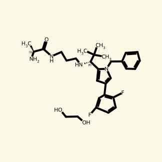 C[C@H](N)C(=O)NCCCN[C@@H](c1cc(-c2cc(F)ccc2F)cn1Cc1ccccc1)C(C)(C)C.OCCO